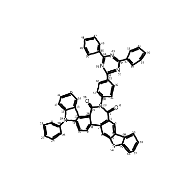 O=c1c2cc3c(cc2c2ccc4c(c5ccccc5n4-c4ccccc4)c2c(=O)n1-c1ccc(-c2nc(-c4ccccc4)nc(-c4ccccc4)n2)cc1)sc1ccccc13